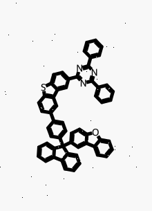 c1ccc(-c2nc(-c3ccccc3)nc(-c3ccc4sc5ccc(-c6ccc(C7(c8ccc9oc%10ccccc%10c9c8)c8ccccc8-c8ccccc87)cc6)cc5c4c3)n2)cc1